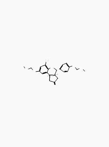 Bc1cc(OCOC)cc2c1O[C@H](c1ccc(OCOC)cc1)[C@@H]1CC(=O)C[C@H]21